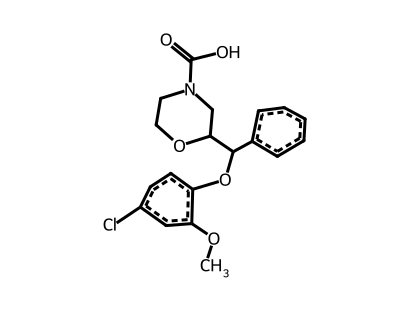 COc1cc(Cl)ccc1OC(c1ccccc1)C1CN(C(=O)O)CCO1